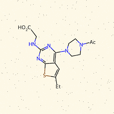 CCc1cc2c(N3CCN(C(C)=O)CC3)nc(NCC(=O)O)nc2s1